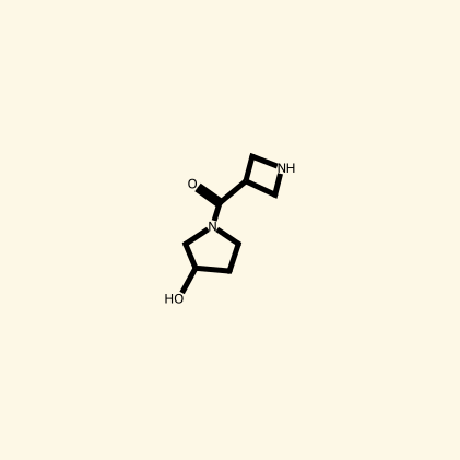 O=C(C1CNC1)N1CCC(O)C1